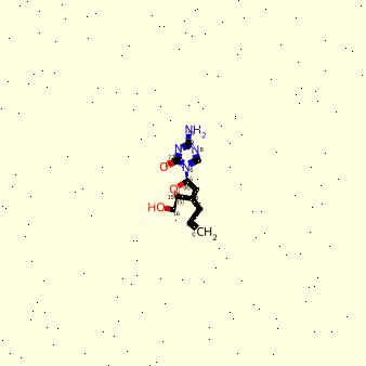 C=CCC1C[C@H](n2cnc(N)nc2=O)O[C@@H]1CO